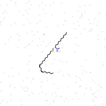 CCCCC/C=C\C/C=C\CCCCCCCCOC[C@H](CCCCCCCCC)NC